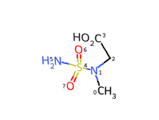 CN(CC(=O)O)S(N)(=O)=O